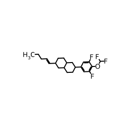 CCC/C=C/C1CCC2CC(c3cc(F)c(OC(F)F)c(F)c3)CCC2C1